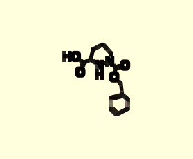 O=C(O)C1CCCN(C(=O)OCc2ccccc2)N1